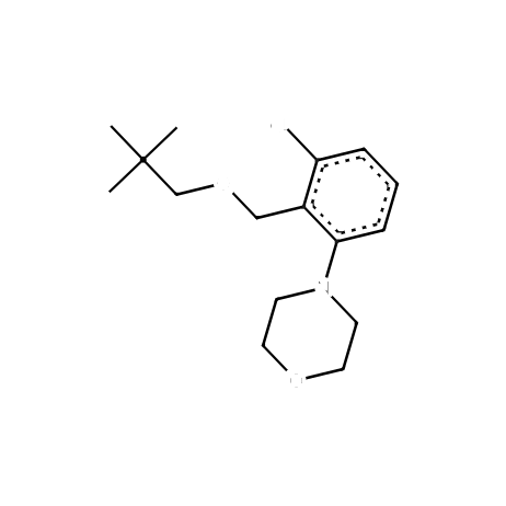 CC(C)(C)COCc1c(Cl)cccc1N1CCOCC1